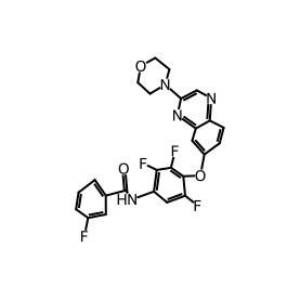 O=C(Nc1cc(F)c(Oc2ccc3ncc(N4CCOCC4)nc3c2)c(F)c1F)c1cccc(F)c1